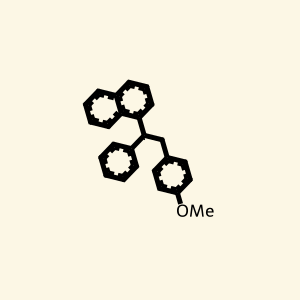 COc1ccc(C[C](c2ccccc2)c2cccc3ccccc23)cc1